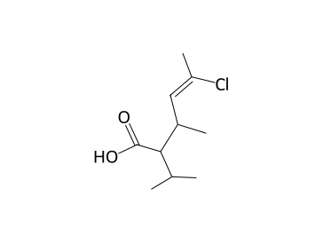 C/C(Cl)=C/C(C)C(C(=O)O)C(C)C